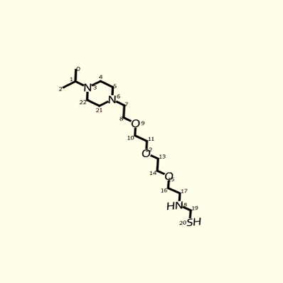 CC(C)N1CCN(CCOCCOCCOCCNCS)CC1